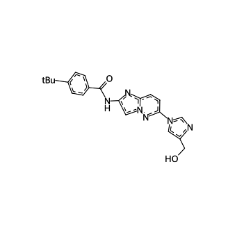 CC(C)(C)c1ccc(C(=O)Nc2cn3nc(-n4cnc(CO)c4)ccc3n2)cc1